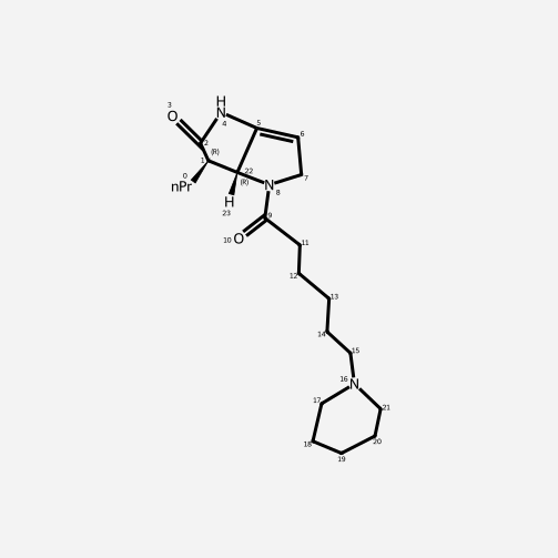 CCC[C@H]1C(=O)NC2=CCN(C(=O)CCCCCN3CCCCC3)[C@@H]21